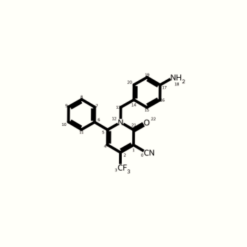 N#Cc1c(C(F)(F)F)cc(-c2ccccc2)n(Cc2ccc(N)cc2)c1=O